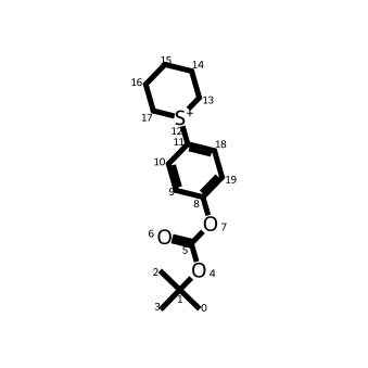 CC(C)(C)OC(=O)Oc1ccc([S+]2CCCCC2)cc1